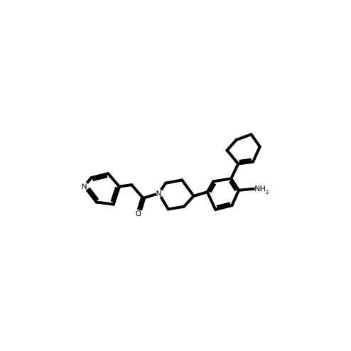 Nc1ccc(C2CCN(C(=O)Cc3ccncc3)CC2)cc1C1=CCCCC1